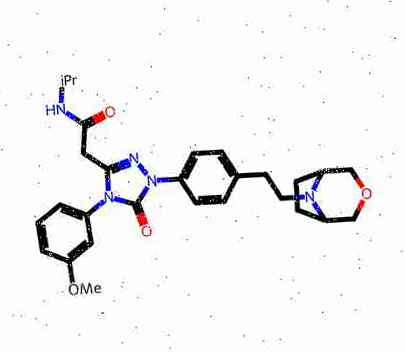 COc1cccc(-n2c(CC(=O)NC(C)C)nn(-c3ccc(CCN4C5CCC4COC5)cc3)c2=O)c1